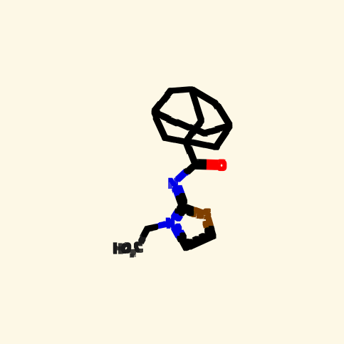 O=C(O)Cn1ccs/c1=N\C(=O)C12CC3CC(CC(C3)C1)C2